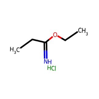 CCOC(=N)CC.Cl